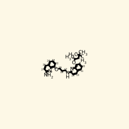 CC(CC(C)(C)C)Oc1cccc2ccc(NCCCOc3cccc4ccc(N)nc34)nc12